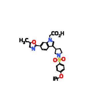 Cc1cnc(-c2ccc3c(C4CCN(S(=O)(=O)c5ccc(OC(C)C)cc5)C4)cn(CC(=O)O)c3c2)o1